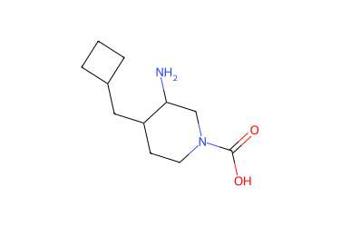 NC1CN(C(=O)O)CCC1CC1CCC1